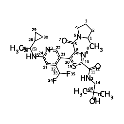 CC1CCCN1C(=O)c1nc(C(=O)NCC(C)(C)O)sc1-c1cnc(N[C@@H](C)C2CC2)cc1C(F)F